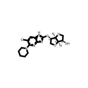 O[C@@H]1CO[C@H]2[C@@H]1OC[C@H]2Oc1nc2nc(N3CCCCC3)c(Cl)cc2[nH]1